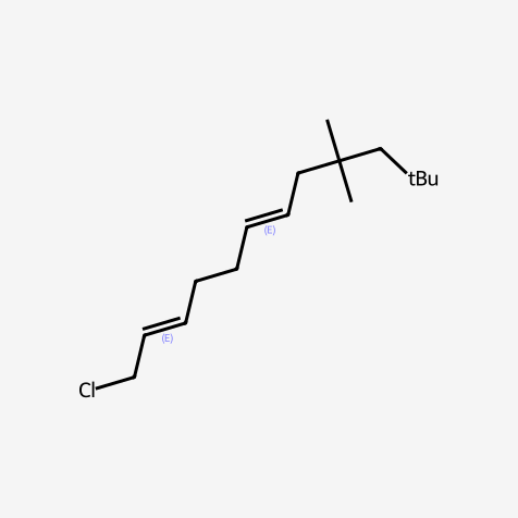 CC(C)(C)CC(C)(C)C/C=C/CC/C=C/CCl